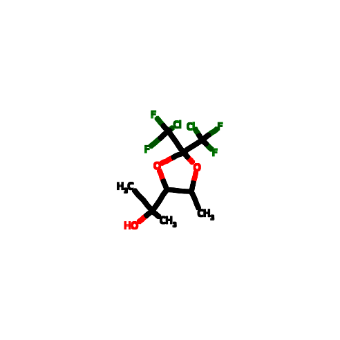 CC1OC(C(F)(F)Cl)(C(F)(F)Cl)OC1C(C)(C)O